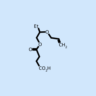 C=CCOC(CC)COC(=O)CCC(=O)O